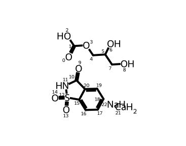 O=C(O)OCC(O)CO.O=C1NS(=O)(=O)c2ccccc21.[CaH2].[NaH]